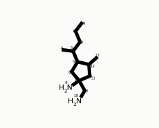 CCCC(C)C1CC(N)(CN)CC1C